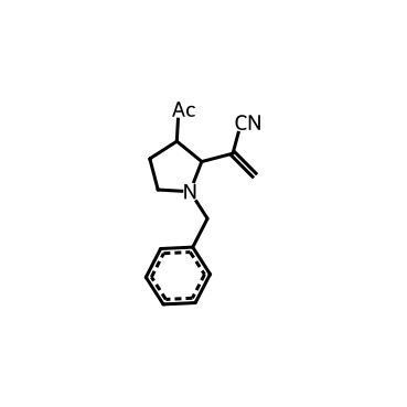 C=C(C#N)C1C(C(C)=O)CCN1Cc1ccccc1